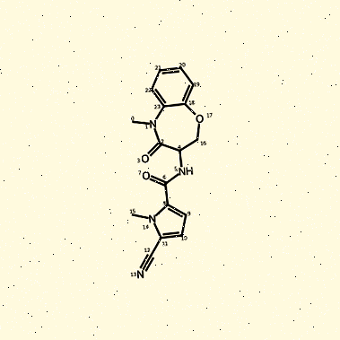 CN1C(=O)C(NC(=O)c2ccc(C#N)n2C)COc2ccccc21